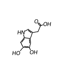 O=C(O)Cc1c[nH]c2cc(O)c(O)cc12